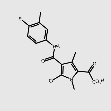 Cc1cc(NC(=O)c2c(C)c(C(=O)C(=O)O)n(C)c2Cl)ccc1F